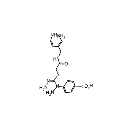 N/C=C\C(=C/N)CNC(=O)CS/C(=N/N)N(N)c1ccc(C(=O)O)cc1